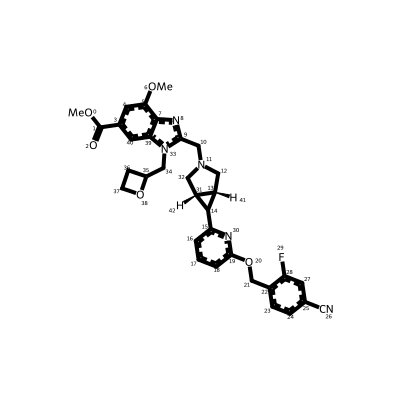 COC(=O)c1cc(OC)c2nc(CN3C[C@@H]4C(c5cccc(OCc6ccc(C#N)cc6F)n5)[C@@H]4C3)n(CC3CCO3)c2c1